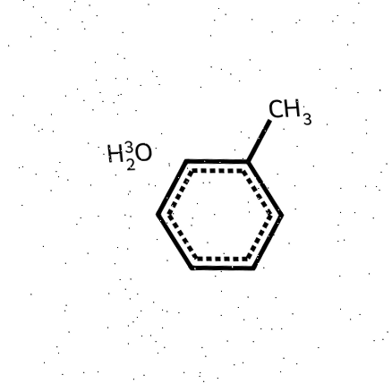 Cc1ccccc1.[3OH2]